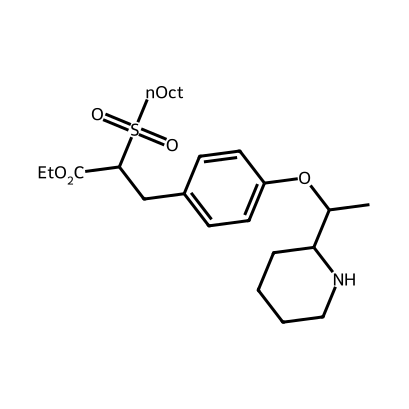 CCCCCCCCS(=O)(=O)C(Cc1ccc(OC(C)C2CCCCN2)cc1)C(=O)OCC